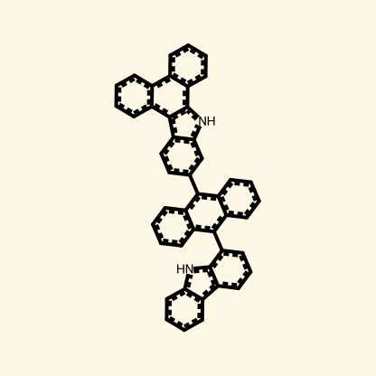 c1ccc2c(c1)[nH]c1c(-c3c4ccccc4c(-c4ccc5c(c4)[nH]c4c6ccccc6c6ccccc6c54)c4ccccc34)cccc12